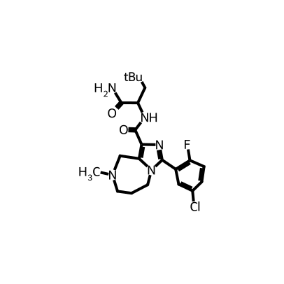 CN1CCCn2c(-c3cc(Cl)ccc3F)nc(C(=O)NC(CC(C)(C)C)C(N)=O)c2C1